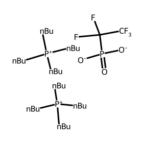 CCCC[P+](CCCC)(CCCC)CCCC.CCCC[P+](CCCC)(CCCC)CCCC.O=P([O-])([O-])C(F)(F)C(F)(F)F